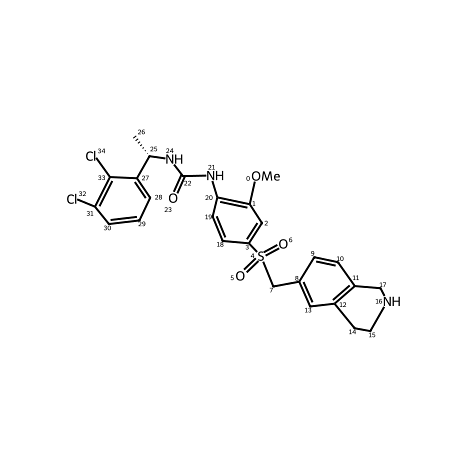 COc1cc(S(=O)(=O)Cc2ccc3c(c2)CCNC3)ccc1NC(=O)N[C@@H](C)c1cccc(Cl)c1Cl